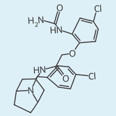 NC(=O)Nc1cc(Cl)ccc1OCC(=O)NC1CC2CCC(C1)N2Cc1ccc(Cl)cc1